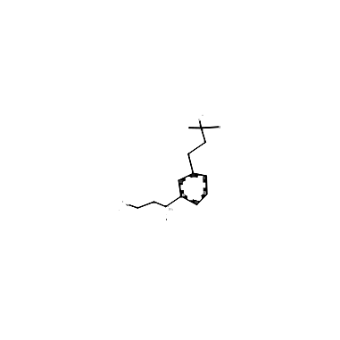 CCC(O)(CC)CCc1cccc([C@H](O)CCN)c1